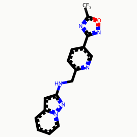 FC(F)(F)c1nc(-c2ccc(CNc3cc4ccccn4n3)nc2)no1